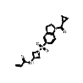 C=CC(=O)NC1CN(S(=O)(=O)c2ccc3c(c2)CCN3C(=O)C2CC2)C1